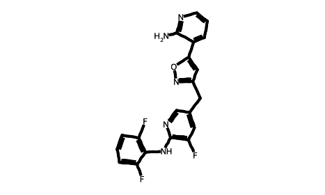 Nc1ncccc1-c1cc(Cc2cnc(Nc3c(F)cccc3F)c(F)c2)no1